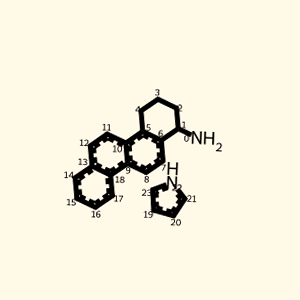 NC1CCCc2c1ccc1c2ccc2ccccc21.c1cc[nH]c1